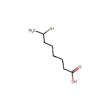 CC(S)CCCCCC(=O)O